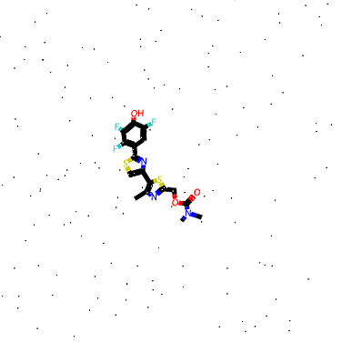 Cc1nc(COC(=O)N(C)C)sc1-c1csc(-c2cc(F)c(O)c(F)c2F)n1